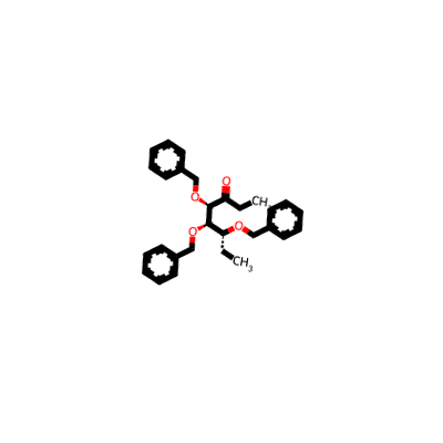 CCC(=O)[C@H](OCc1ccccc1)[C@H](OCc1ccccc1)[C@@H](CC)OCc1ccccc1